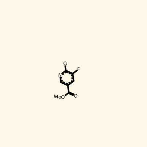 COC(=O)c1cnc(Cl)c(F)c1